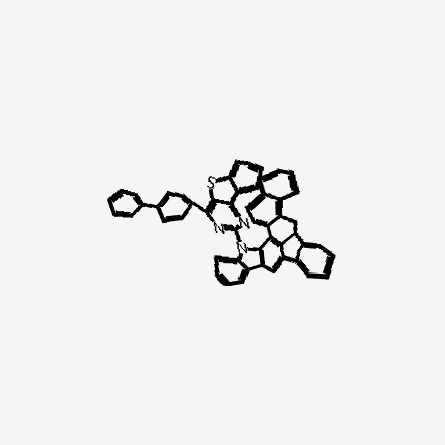 c1ccc(-c2ccc(-c3nc(-n4c5ccccc5c5cc6c7c(c54)-c4ccc5ccccc5c4CC7c4ccccc4-6)nc4c3sc3ccccc34)cc2)cc1